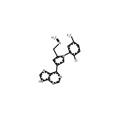 C=NCc1cc(-c2ncnc3[nH]cnc23)cn1-c1cc(C(F)(F)F)ccc1Cl